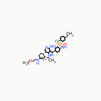 CCc1ccc(Cl)c(S(=O)(=O)Nc2cc(F)c(-c3nn(C(C)C)c4c3c(N)ncc4[C@H]3CC[C@H](NCCOC)CC3)cc2F)c1